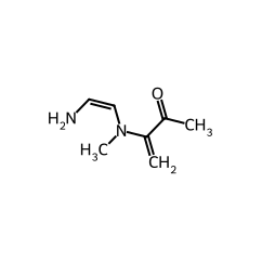 C=C(C(C)=O)N(C)/C=C\N